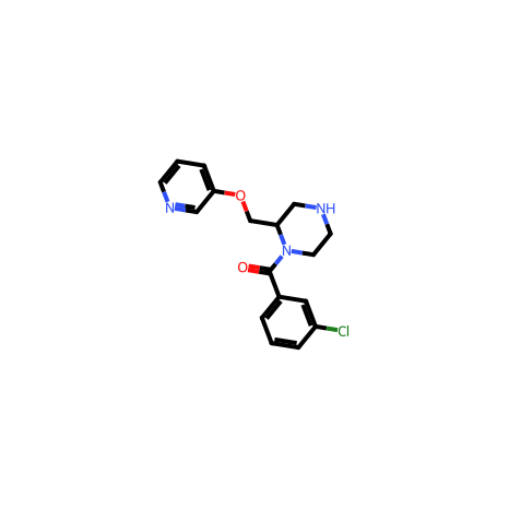 O=C(c1cccc(Cl)c1)N1CCNCC1COc1cccnc1